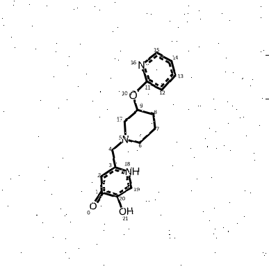 O=c1cc(CN2CCCC(Oc3ccccn3)C2)[nH]cc1O